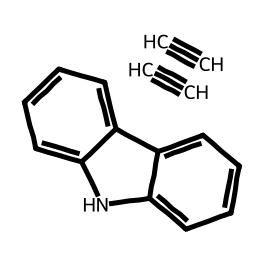 C#C.C#C.c1ccc2c(c1)[nH]c1ccccc12